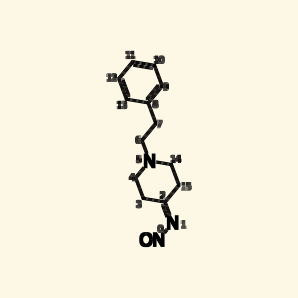 O=NN=C1CCN(CCc2ccccc2)CC1